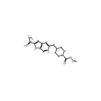 CC(C)(C)OC(=O)N1CCC(Cc2cc3cc(C(N)=O)oc3cn2)CC1